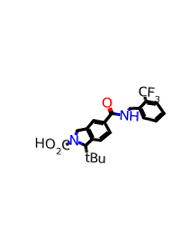 CC(C)(C)C1c2ccc(C(=O)NCc3ccccc3C(F)(F)F)cc2CN1C(=O)O